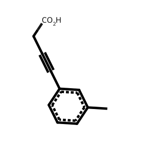 Cc1cccc(C#CCC(=O)O)c1